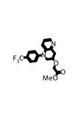 COC(=O)COC1Cc2ncccc2N(c2ccc(C(F)(F)F)cc2)C1